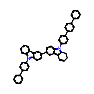 C1=Cc2c(n(-c3ccc(-c4ccc(-c5ccccc5)cc4)cc3)c3ccc(-c4ccc5c(c4)c4ccccc4n5-c4ccc(-c5ccccc5)cc4)cc23)CC1